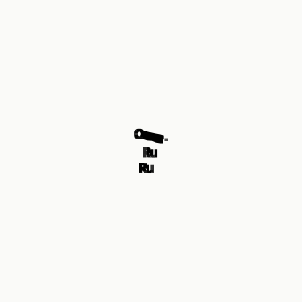 [CH]=O.[Ru].[Ru]